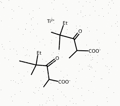 CCC(C)(C)C(=O)C(C)C(=O)[O-].CCC(C)(C)C(=O)C(C)C(=O)[O-].[Ti+2]